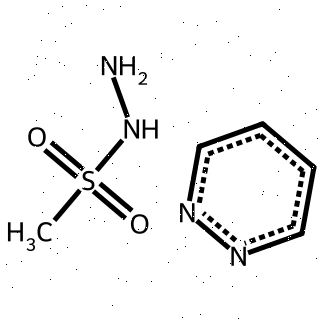 CS(=O)(=O)NN.c1ccnnc1